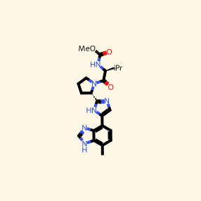 COC(=O)N[C@H](C(=O)N1CCC[C@H]1c1ncc(-c2ccc(C)c3[nH]cnc23)[nH]1)C(C)C